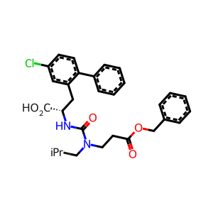 CC(C)CN(CCC(=O)OCc1ccccc1)C(=O)N[C@@H](Cc1cc(Cl)ccc1-c1ccccc1)C(=O)O